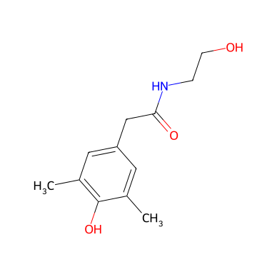 Cc1cc(CC(=O)NCCO)cc(C)c1O